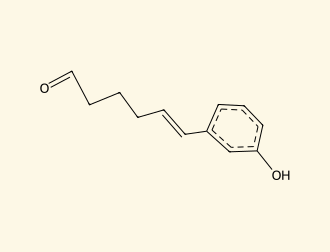 O=CCCCC=Cc1cccc(O)c1